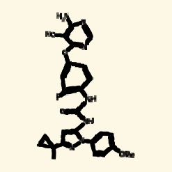 COc1ccc(-n2nc(C3(C)CC3)cc2NC(=O)Nc2ccc(Oc3ncnc(N)c3C#N)cc2F)cc1